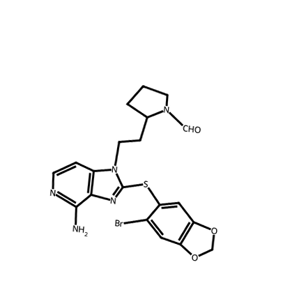 Nc1nccc2c1nc(Sc1cc3c(cc1Br)OCO3)n2CCC1CCCN1C=O